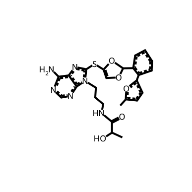 Cc1ccc(-c2ccccc2C2OC=C(Sc3nc4c(N)ncnc4n3CCCNC(=O)C(C)O)O2)o1